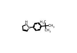 CC(C)(C)c1ccc(N2C=CCN2)cc1